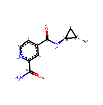 C[C@H]1C[C@@H]1NC(=O)c1ccnc(C(N)=O)c1